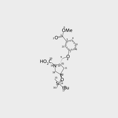 COC(=O)c1cccc(OC[C@@H]2C[C@@H](O[Si](C)(C)C(C)(C)C)CN2C(=O)O)c1